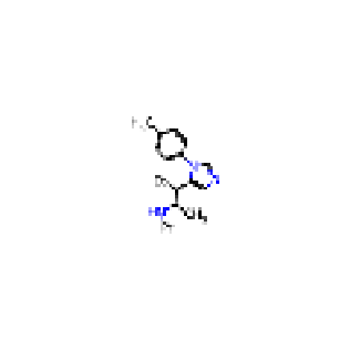 CCC(c1cncn1-c1ccc(C)cc1)C(C)NC(C)C